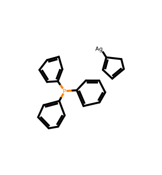 [Ag][C]1=CC=CC1.c1ccc(P(c2ccccc2)c2ccccc2)cc1